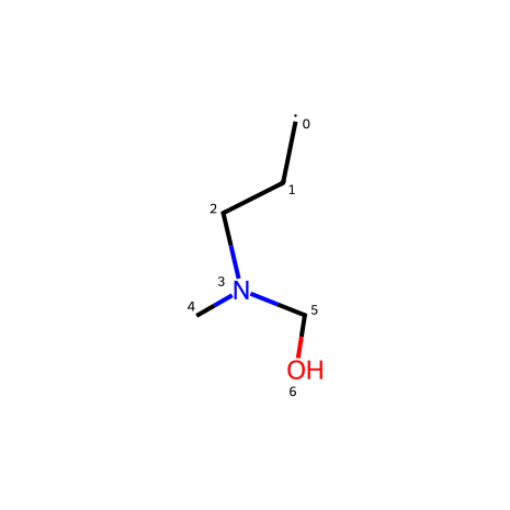 [CH2]CCN(C)CO